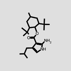 CC(C)Cc1c[nH]c(N)c1C(=O)OC1C(C(C)(C)C)CC(C)CC1C(C)(C)C